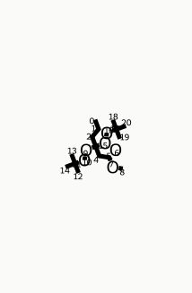 CCCC(CC(=O)OC)(OOC(C)(C)C)OOC(C)(C)C